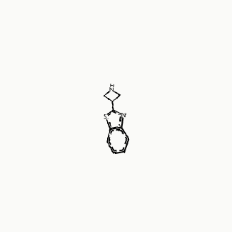 c1ccc2sc(C3CNC3)nc2c1